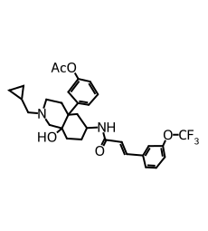 CC(=O)Oc1cccc(C23CCN(CC4CC4)CC2(O)CCC(NC(=O)/C=C/c2cccc(OC(F)(F)F)c2)C3)c1